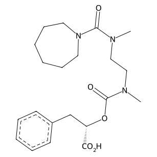 CN(CCN(C)C(=O)N1CCCCCC1)C(=O)O[C@@H](Cc1ccccc1)C(=O)O